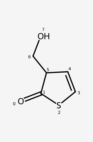 O=C1SC=CC1CO